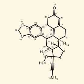 CC#CC1(OO)CC[C@H]2[C@@H]3CCC4=CC(=O)CCC4=C3C(c3ccc4c(c3)OCO4)C[C@@]21C